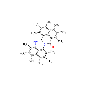 Cc1c(C)c2c3c(c(C)c(C)c(C)c3c1C)C1Nc3c(C)c(C)c(C)c4c(C)c(C)c(C)c(c34)N1C2=O